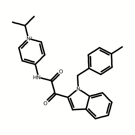 Cc1ccc(Cn2c(C(=O)C(=O)Nc3cc[n+](C(C)C)cc3)cc3ccccc32)cc1